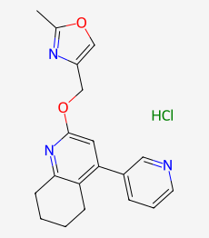 Cc1nc(COc2cc(-c3cccnc3)c3c(n2)CCCC3)co1.Cl